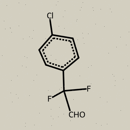 O=CC(F)(F)c1ccc(Cl)cc1